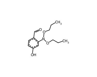 CCCON(OCCC)c1cc(O)ccc1C=O